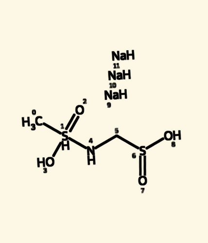 C[SH](=O)(O)NCS(=O)O.[NaH].[NaH].[NaH]